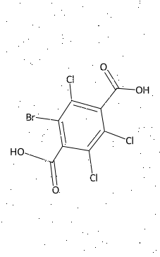 O=C(O)c1c(Cl)c(Cl)c(C(=O)O)c(Br)c1Cl